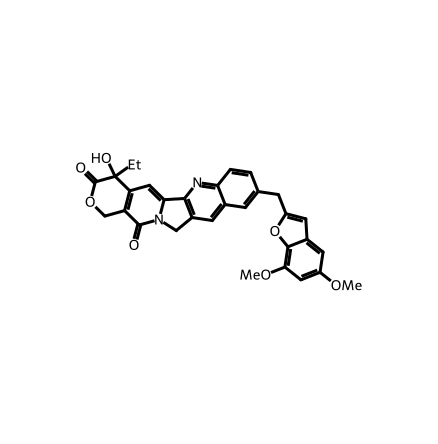 CCC1(O)C(=O)OCc2c1cc1n(c2=O)Cc2cc3cc(Cc4cc5cc(OC)cc(OC)c5o4)ccc3nc2-1